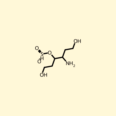 NC(CCO)C(CCO)O[SH](=O)=O